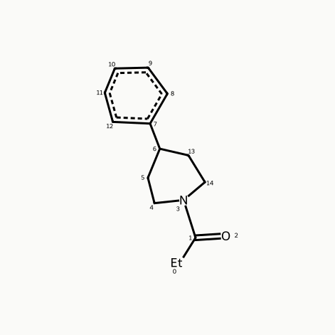 CCC(=O)N1CCC(c2ccccc2)CC1